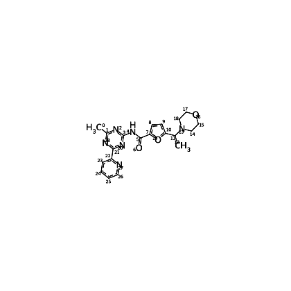 Cc1nc(NC(=O)c2ccc(C(C)N3CCOCC3)o2)nc(-c2ccccn2)n1